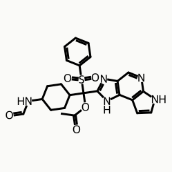 CC(=O)OC(c1nc2cnc3[nH]ccc3c2[nH]1)(C1CCC(NC=O)CC1)S(=O)(=O)c1ccccc1